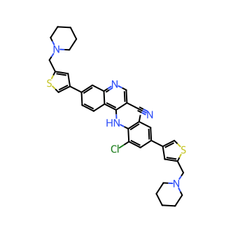 Cc1cc(-c2csc(CN3CCCCC3)c2)cc(Cl)c1Nc1c(C#N)cnc2cc(-c3csc(CN4CCCCC4)c3)ccc12